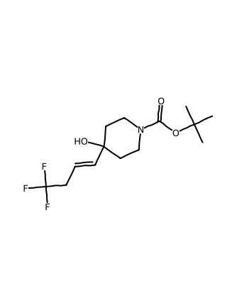 CC(C)(C)OC(=O)N1CCC(O)(/C=C/CC(F)(F)F)CC1